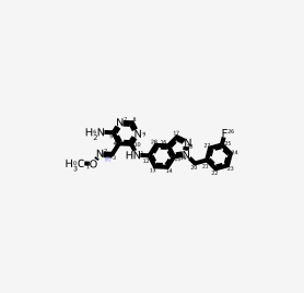 CO/N=C/c1c(N)ncnc1Nc1ccc2c(cnn2Cc2cccc(F)c2)c1